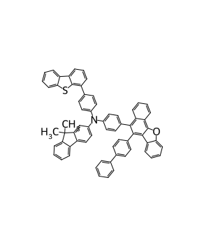 CC1(C)c2ccccc2-c2ccc(N(c3ccc(-c4c(-c5ccc(-c6ccccc6)cc5)c5c6ccccc6oc5c5ccccc45)cc3)c3ccc(-c4cccc5c4sc4ccccc45)cc3)cc21